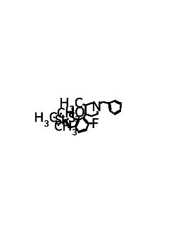 CC1CN(Cc2ccccc2)CCC1(O)c1c(F)ccc2cc([Si](C)(C)C)sc12